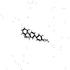 Cc1ccc(-c2ccc(-c3ccccc3N)cc2)cc1